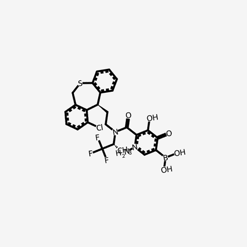 C[C@@H](N(CC[C@@H]1c2ccccc2SCc2cccc(Cl)c21)C(=O)c1c(O)c(=O)c(B(O)O)cn1N)C(F)(F)F